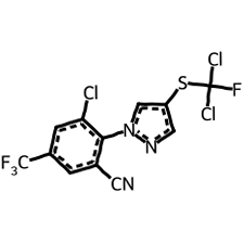 N#Cc1cc(C(F)(F)F)cc(Cl)c1-n1cc(SC(F)(Cl)Cl)cn1